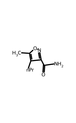 CCCc1c(C(N)=O)noc1C